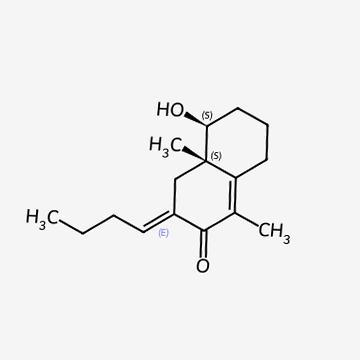 CCC/C=C1\C[C@@]2(C)C(=C(C)C1=O)CCC[C@@H]2O